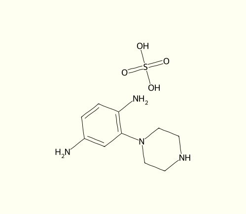 Nc1ccc(N)c(N2CCNCC2)c1.O=S(=O)(O)O